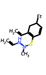 C=CNN(C)SC1=C(C=C)CC(CC)C=C1